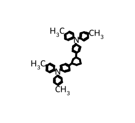 Cc1ccc(N(c2ccc(C)cc2)c2ccc(C3CCCC(c4ccc(N(c5ccc(C)cc5)c5ccc(C)cc5)cc4)C3)cc2)cc1